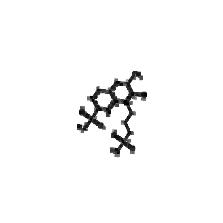 Cc1cc2cnc(S(C)(=O)=O)nc2n(CCCS(=O)(=O)O)c1=O